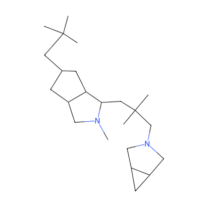 CN1CC2CC(CC(C)(C)C)CC2C1CC(C)(C)CN1CC2CC2C1